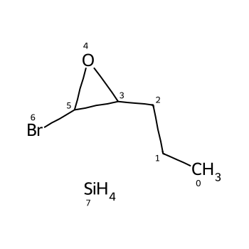 CCCC1OC1Br.[SiH4]